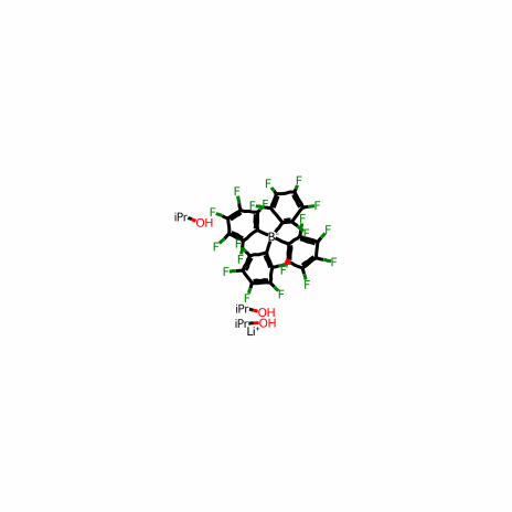 CC(C)O.CC(C)O.CC(C)O.Fc1c(F)c(F)c([B-](c2c(F)c(F)c(F)c(F)c2F)(c2c(F)c(F)c(F)c(F)c2F)c2c(F)c(F)c(F)c(F)c2F)c(F)c1F.[Li+]